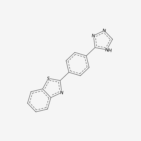 c1ccc2sc(-c3ccc(-c4nnc[nH]4)cc3)nc2c1